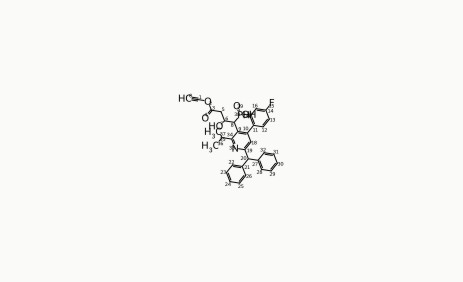 C#COC(=O)CC(O)C(c1c(-c2ccc(F)cc2)cc(C(c2ccccc2)c2ccccc2)nc1C(C)C)[PH](=O)O